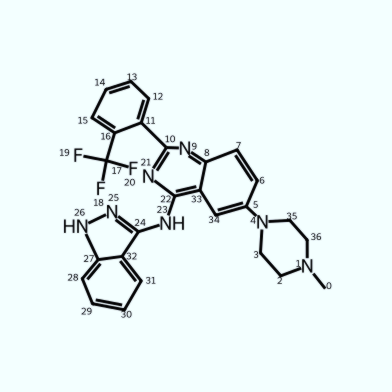 CN1CCN(c2ccc3nc(-c4ccccc4C(F)(F)F)nc(Nc4n[nH]c5ccccc45)c3c2)CC1